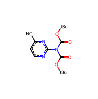 CC(C)(C)OC(=O)N(C(=O)OC(C)(C)C)c1nccc(C#N)n1